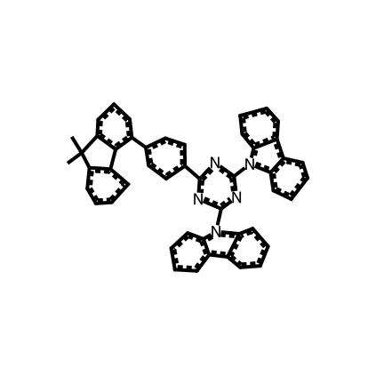 CC1(C)c2ccccc2-c2c(-c3ccc(-c4nc(-n5c6ccccc6c6ccccc65)nc(-n5c6ccccc6c6ccccc65)n4)cc3)cccc21